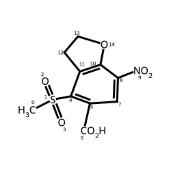 CS(=O)(=O)c1c(C(=O)O)cc([N+](=O)[O-])c2c1CCO2